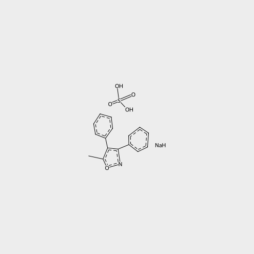 Cc1onc(-c2ccccc2)c1-c1ccccc1.O=S(=O)(O)O.[NaH]